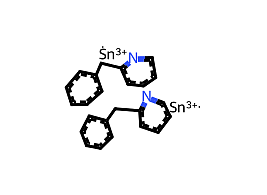 [Sn+3].[Sn+3].c1ccc(Cc2ccccn2)cc1.c1ccc(Cc2ccccn2)cc1